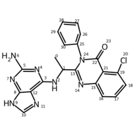 CC(Nc1nc(N)nc2[nH]cnc12)c1nc2cccc(Cl)c2c(=O)n1-c1ccccc1